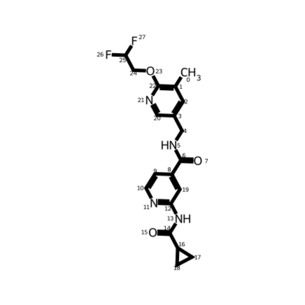 Cc1cc(CNC(=O)c2ccnc(NC(=O)C3CC3)c2)cnc1OCC(F)F